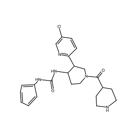 O=C(Nc1ccccc1)NC1CCN(C(=O)C2CCNCC2)CC1c1ccc(Cl)cn1